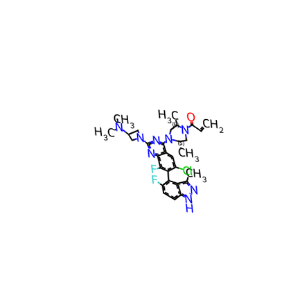 C=CC(=O)N1C[C@H](C)N(c2nc(N3CC(N(C)C)C3)nc3c(F)c(-c4c(F)ccc5[nH]nc(C)c45)c(Cl)cc23)C[C@H]1C